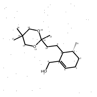 C[C@@H]1CCC=C(CO)C1CCC1(C)OCC(C)(C)CO1